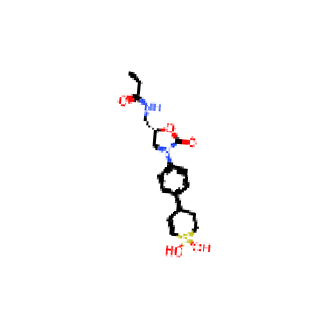 CCC(=O)NC[C@H]1CN(c2ccc(C3C=CS(O)(O)CC3)cc2)C(=O)O1